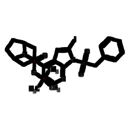 CC(C)(C)OC(=O)N1C2CCC1CN(c1ncnc3c1cc(I)n3S(=O)(=O)Cc1ccccc1)C2